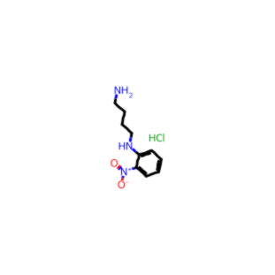 Cl.NCCCCNc1ccccc1[N+](=O)[O-]